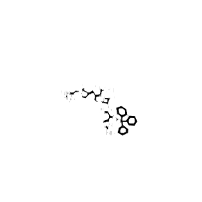 Nc1nc(C(=NOC(c2ccccc2)(c2ccccc2)c2ccccc2)C(=O)N[C@@H]2C(=O)N3C(C(=O)O)=C(C=C4CCN(Cc5nnn[nH]5)C4=O)CS[C@H]23)cs1